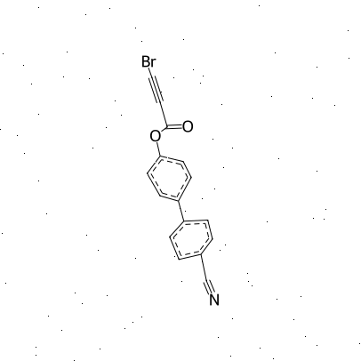 N#Cc1ccc(-c2ccc(OC(=O)C#CBr)cc2)cc1